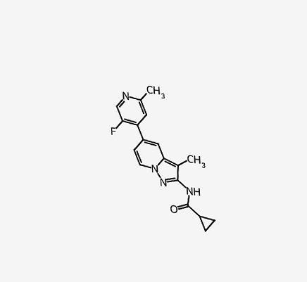 Cc1cc(-c2ccn3nc(NC(=O)C4CC4)c(C)c3c2)c(F)cn1